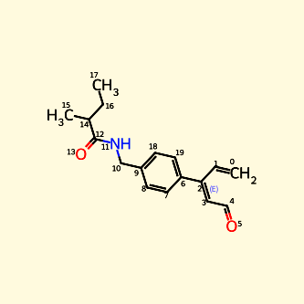 C=C/C(=C\C=O)c1ccc(CNC(=O)C(C)CC)cc1